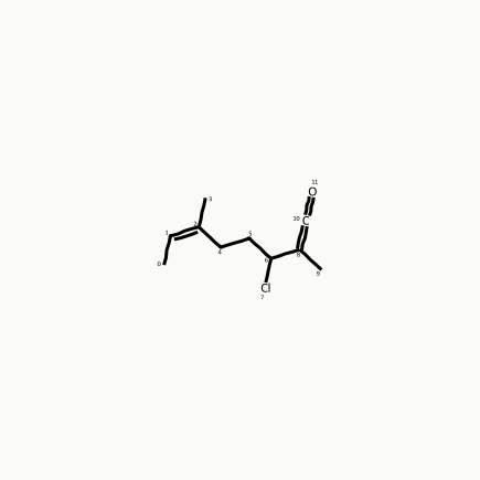 CC=C(C)CCC(Cl)C(C)=C=O